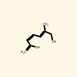 C=C(O)/C=C\C=C(/C)CC#N